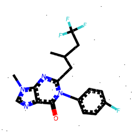 CC(Cc1nc2c(ncn2C)c(=O)n1-c1ccc(F)cc1)CC(F)(F)F